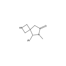 CC(C)C1N(C)C(=O)CC12CNC2